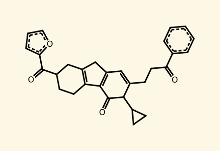 O=C(CCC1=CC2=C(C(=O)C1C1CC1)C1=C(C2)CC(C(=O)c2ccco2)CC1)c1ccccc1